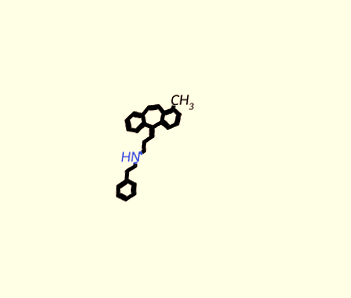 Cc1cccc2c1C=Cc1ccccc1C2=CCCNCCc1ccccc1